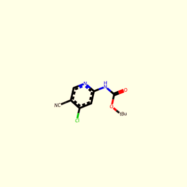 CC(C)(C)OC(=O)Nc1cc(Cl)c(C#N)cn1